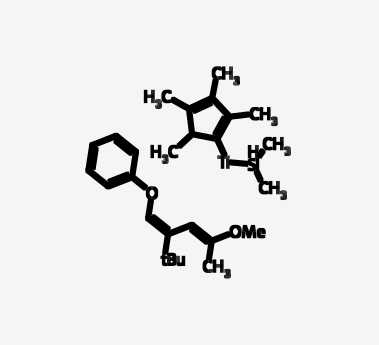 CC1=C(C)C(C)[C]([Ti][SiH](C)C)=C1C.COC(C)=CC(=COc1ccccc1)C(C)(C)C